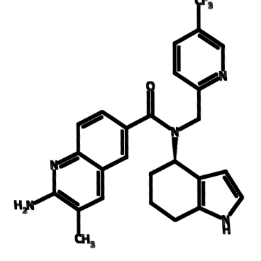 Cc1cc2cc(C(=O)N(Cc3ccc(C(F)(F)F)cn3)[C@@H]3CCCc4[nH]ccc43)ccc2nc1N